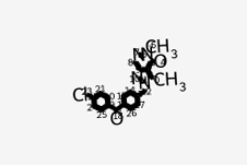 Cc1c2c(=O)n(C)ncc2nn1Cc1ccc(C(=O)c2ccc(Cl)cc2)cc1